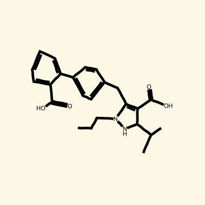 CCCN1NC(C(C)C)C(C(=O)O)=C1Cc1ccc(-c2ccccc2C(=O)O)cc1